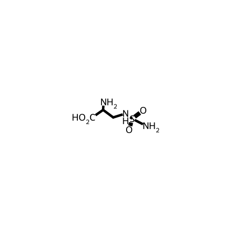 NC(CNS(N)(=O)=O)C(=O)O